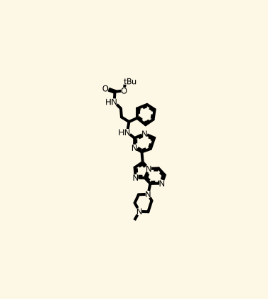 CN1CCN(c2nccn3c(-c4ccnc(NC(CCNC(=O)OC(C)(C)C)c5ccccc5)n4)cnc23)CC1